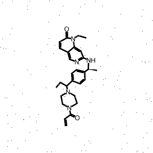 C=CC(=O)N1CCN(C(CC)c2ccc([C@H](C)Nc3cc4c(ccc(=O)n4CC)cn3)cc2)CC1